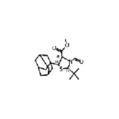 COC(=O)[C@@H]1[C@@H](C23CC4CC(CC(C4)C2)C3)S[C@H](C(C)(C)C)N1C=O